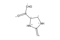 C=C1NCC(C(=O)C=O)N1